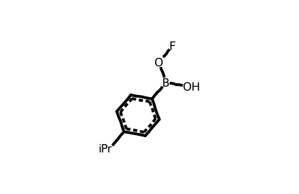 CC(C)c1ccc(B(O)OF)cc1